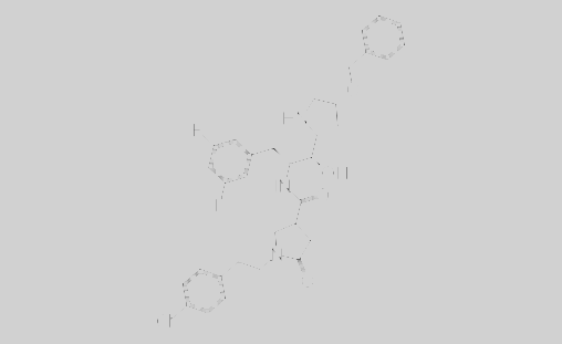 O=C(N[C@@H](Cc1cc(F)cc(F)c1)[C@H](O)[C@H]1C[C@@H](OCc2ccccc2)CN1)C1CC(=O)N(CCc2ccc(Cl)cc2)C1